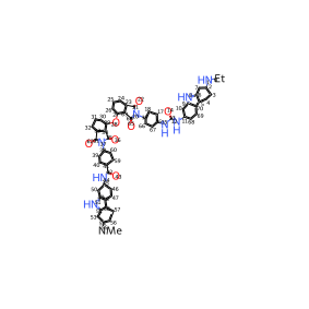 CCNc1ccc2c(c1)[nH]c1cc(NC(=O)Nc3ccc(N4C(=O)c5cccc(Oc6cccc7c6C(=O)N(c6ccc(C(=O)Nc8ccc9c(c8)[nH]c8cc(NC)ccc89)cc6)C7=O)c5C4=O)cc3)ccc12